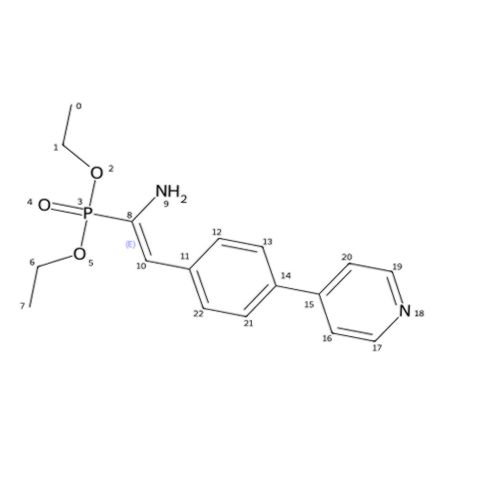 CCOP(=O)(OCC)/C(N)=C/c1ccc(-c2ccncc2)cc1